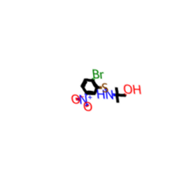 CC(C)(CO)NSc1cc([N+](=O)[O-])ccc1Br